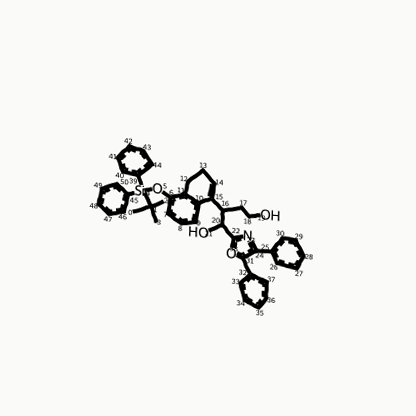 CC(C)(C)[Si](Oc1cccc2c1CCC=C2C(CCO)C(O)c1nc(-c2ccccc2)c(-c2ccccc2)o1)(c1ccccc1)c1ccccc1